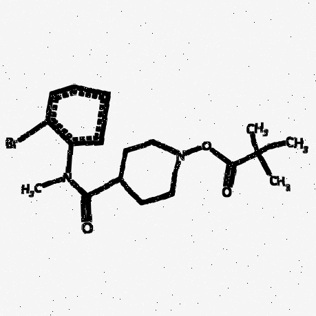 CN(C(=O)C1CCN(OC(=O)C(C)(C)C)CC1)c1ccccc1Br